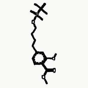 COC(=O)c1ccc(CCCCO[Si](C)(C)C(C)(C)C)cc1OC